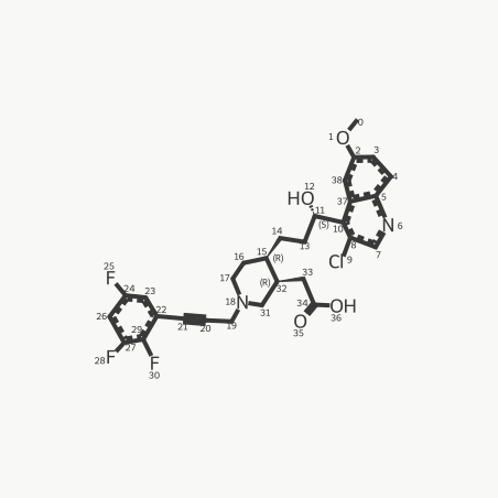 COc1ccc2ncc(Cl)c([C@@H](O)CC[C@@H]3CCN(CC#Cc4cc(F)cc(F)c4F)C[C@@H]3CC(=O)O)c2c1